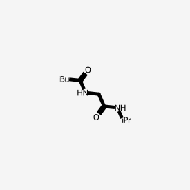 CCC(C)C(=O)NCC(=O)NC(C)C